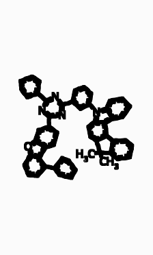 CC1(C)c2ccccc2-c2c1ccc1c2c2ccccc2n1-c1cccc(-c2nc(-c3ccccc3)nc(-c3ccc4c(c3)oc3cccc(-c5ccccc5)c34)n2)c1